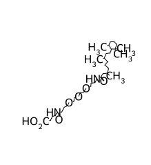 CC(CCCC(C)CC(=O)NCCCOCCOCCOCCCNC(=O)CCC(=O)O)CCC1C(C)CCCC1(C)C